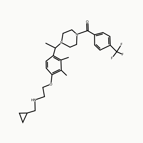 Cc1c(OCCNCC2CC2)ccc(C(C)N2CCN(C(=O)c3ccc(C(F)(F)F)cc3)CC2)c1C